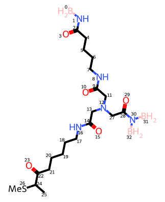 BNC(=O)CCCCNC(=O)CN(CC(=O)NCCCCCC(=O)C(C)SC)CC(=O)N(B)B